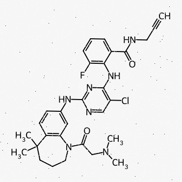 C#CCNC(=O)c1cccc(F)c1Nc1nc(Nc2ccc3c(c2)N(C(=O)CN(C)C)CCCC3(C)C)ncc1Cl